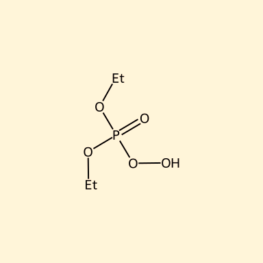 CCOP(=O)(OO)OCC